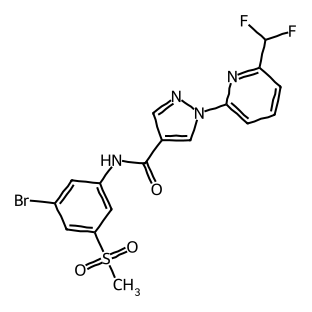 CS(=O)(=O)c1cc(Br)cc(NC(=O)c2cnn(-c3cccc(C(F)F)n3)c2)c1